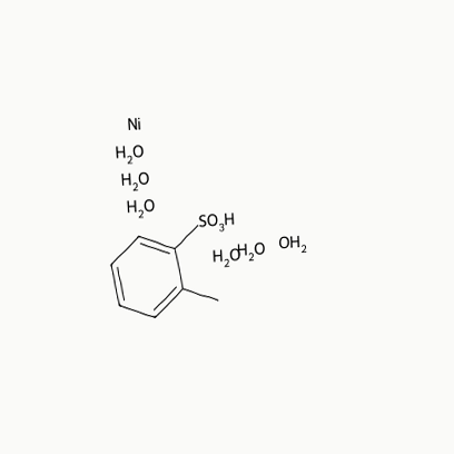 Cc1ccccc1S(=O)(=O)O.O.O.O.O.O.O.[Ni]